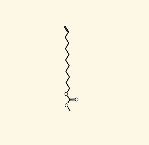 C=CCCCCCCCCCCOC(=O)OC